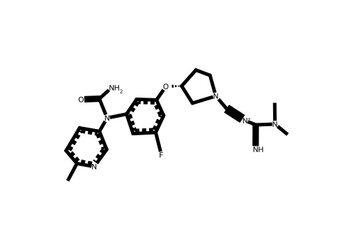 Cc1ccc(N(C(N)=O)c2cc(F)cc(O[C@@H]3CCN(C#[N+]C(=N)N(C)C)C3)c2)cn1